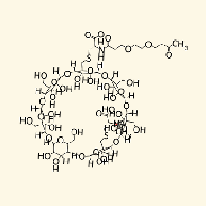 CN[C@H](CSCC1O[C@H]2O[C@@H]3C(CO)O[C@H](O[C@@H]4C(CO)O[C@H](O[C@@H]5C(CO)O[C@@H](O[C@@H]6C(CSC[C@@H](NC(=O)CCOCCOCCC(C)=O)C(=O)O)O[C@H](O[C@@H]7C(CO)O[C@@H](O[C@@H]8C(CO)O[C@@H](O[C@H]1[C@H](O)C2O)C(O)[C@@H]8O)C(O)[C@H]7O)C(O)[C@H]6O)C(O)[C@H]5O)C(O)[C@H]4O)C(O)[C@H]3O)C(=O)O